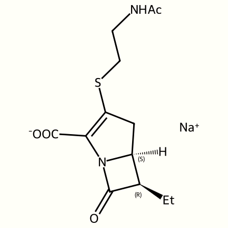 CC[C@H]1C(=O)N2C(C(=O)[O-])=C(SCCNC(C)=O)C[C@@H]12.[Na+]